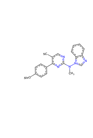 COc1ccc(-c2nc(N(C)n3cnc4ccccc43)ncc2C#N)cc1